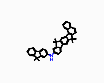 CC1(C)c2ccccc2-c2ccc(Nc3ccc4c(c3)C(C)(C)c3cc5c(cc3-4)C(C)(C)c3ccc4ccccc4c3-5)cc21